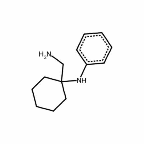 NCC1(Nc2ccccc2)CCCCC1